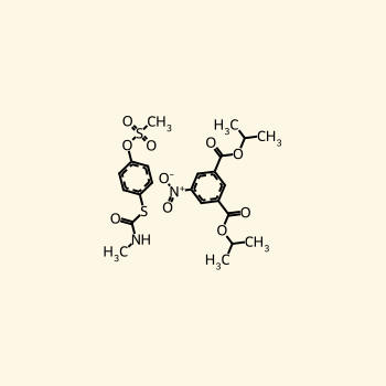 CC(C)OC(=O)c1cc(C(=O)OC(C)C)cc([N+](=O)[O-])c1.CNC(=O)Sc1ccc(OS(C)(=O)=O)cc1